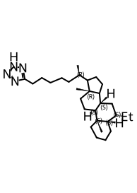 CC[C@H]1C[C@H]2C3CCC([C@H](C)CCCCCc4nn[nH]n4)[C@@]3(C)CC[C@@H]2[C@@]2(C)CCCC[C@@H]12